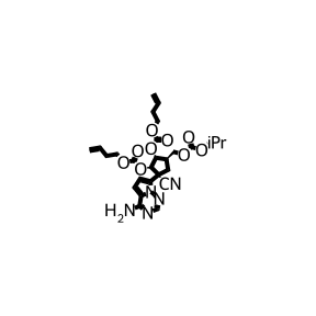 C=CCCOC(=O)O[C@@H]1[C@@H](COC(=O)OC(C)C)C[C@@](C#N)(c2ccc3c(N)ncnn23)[C@@H]1OC(=O)OCCC=C